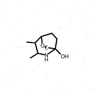 CC1NC2(O)CCC(OC2)C1C